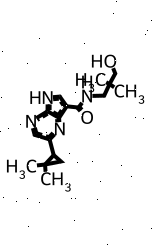 CC(C)(CO)CNC(=O)c1c[nH]c2ncc(C3CC3(C)C)nc12